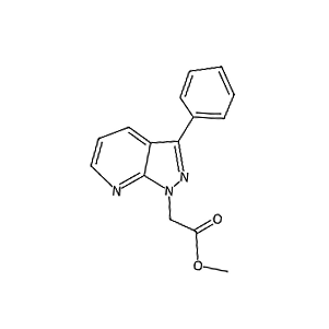 COC(=O)Cn1nc(-c2ccccc2)c2cccnc21